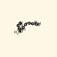 CN1CCN([C@@H]2CCCN(c3cnc(C(N)=O)c(Nc4ccc(C5CCN(CC6CCN(c7ccc(C8CCC(=O)NC8=O)cc7)CC6)CC5)cc4)n3)C2)C1=O